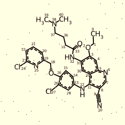 CCOc1cc2ncc(C#N)c(Nc3ccc(OCc4cccc(Cl)n4)c(Cl)c3)c2cc1NC(=O)CCCN(C)C